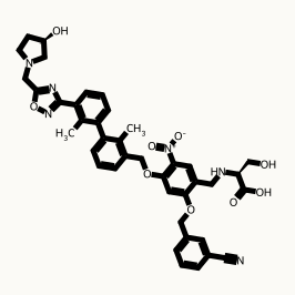 Cc1c(COc2cc(OCc3cccc(C#N)c3)c(CN[C@@H](CO)C(=O)O)cc2[N+](=O)[O-])cccc1-c1cccc(-c2noc(CN3CC[C@@H](O)C3)n2)c1C